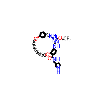 O=C(NCC1CCNC1)c1ccc2cc1OCCCCCCCCOc1ccc(cc1)CNc1nc(nc(OCC(F)(F)F)n1)N2